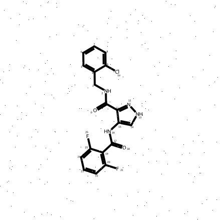 O=C(NCc1ccccc1Cl)c1n[nH]cc1NC(=O)c1c(F)cccc1F